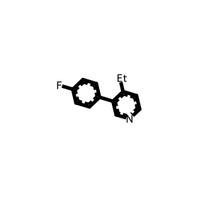 CCc1ccncc1-c1ccc(F)cc1